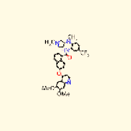 COc1cc2nccc(Oc3ccc4c(C(=O)Nc5cc(C(F)(F)F)ccc5N(C)C5CCN(C)C5)cccc4c3)c2cc1OC